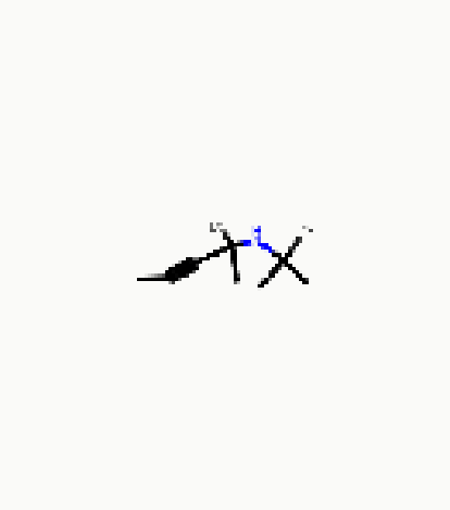 CC#CC(C)(CC)NC(C)(C)CC